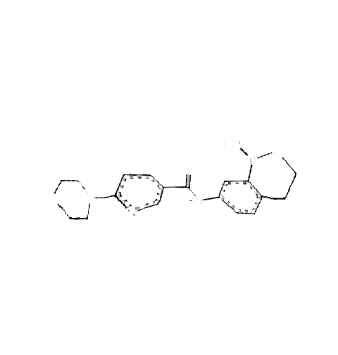 O=C(Nc1ccc2c(c1)B(O)OCC2)c1ccc(N2CCOCC2)nc1